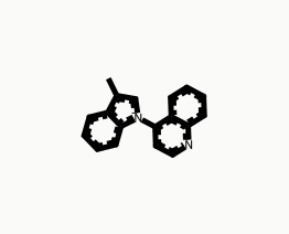 Cc1cn(-c2ccnc3ccccc23)c2ccccc12